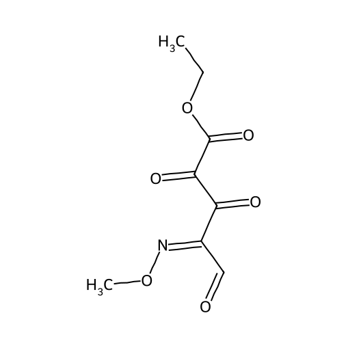 CCOC(=O)C(=O)C(=O)C(C=O)=NOC